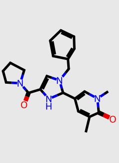 Cc1cc(C2NC(C(=O)N3CCCC3)=CN2Cc2ccccc2)cn(C)c1=O